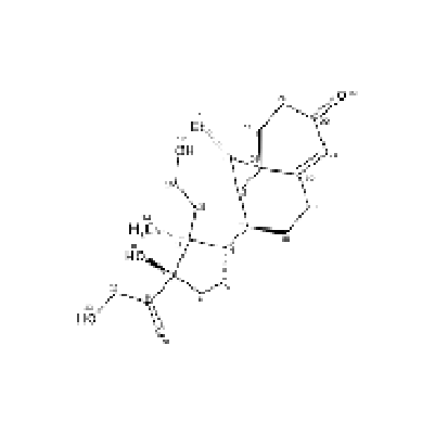 CC[C@H]1C2[C@H]([C@@H]3CC[C@](O)(C(=O)CO)[C@@]3(C)CCO)CCC3=CC(=O)CC[C@@]321